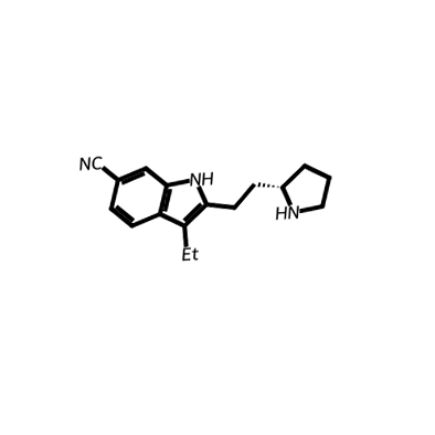 CCc1c(CC[C@@H]2CCCN2)[nH]c2cc(C#N)ccc12